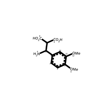 COc1ccc(C(N)C(C(=O)O)C(=O)O)cc1OC